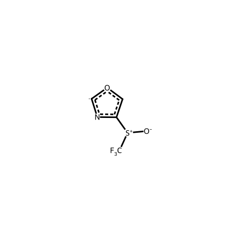 [O-][S+](c1co[c]n1)C(F)(F)F